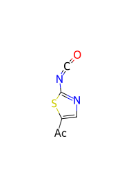 CC(=O)c1cnc(N=C=O)s1